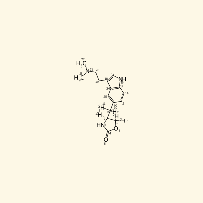 [2H]C1([2H])OC(=O)N[C@@]1([2H])C([2H])([2H])c1ccc2[nH]cc(CCN(C)C)c2c1